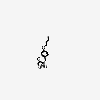 CCCCOc1ccc(C[C@@H]2NOCC2=O)cc1